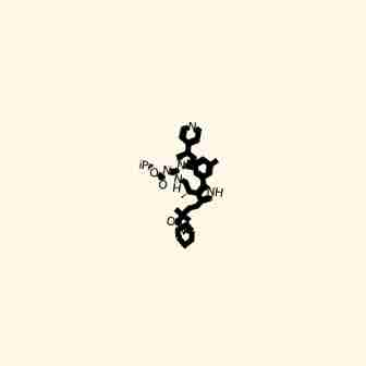 Cc1cc(C)cc(-c2[nH]cc(CCC(C)(C)C(=O)N3C4CCC3CC4)c2[C@H](C)CN/C(=N\C(=O)OC(C)C)N2CCC(c3ccncc3)C2)c1